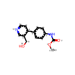 CC(C)(C)OC(=O)Nc1ccc(-c2ccncc2CO)cc1